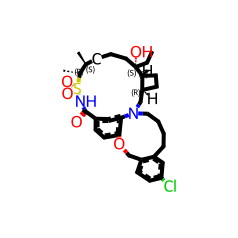 CC[C@]1(O)CCC[C@H](C)[C@@H](C)S(=O)(=O)NC(=O)c2ccc3c(c2)N(CCCCc2cc(Cl)ccc2CO3)C[C@@H]2CC[C@H]21